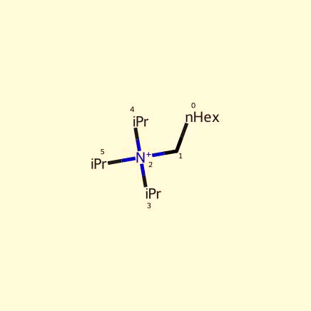 CCCCCCC[N+](C(C)C)(C(C)C)C(C)C